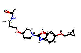 CC(=O)N[C@@H](C)CCOC1CCN(c2nc3ccc(OCC4CC4)cc3o2)CC1